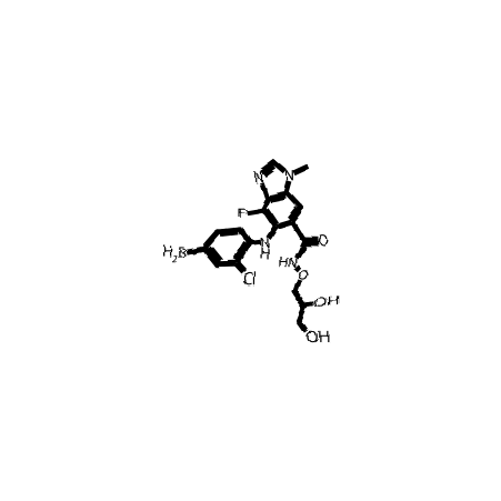 Bc1ccc(Nc2c(C(=O)NOCC(O)CO)cc3c(ncn3C)c2F)c(Cl)c1